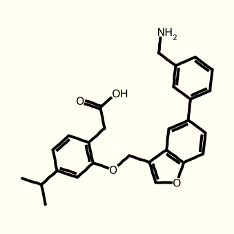 CC(C)c1ccc(CC(=O)O)c(OCc2coc3ccc(-c4cccc(CN)c4)cc23)c1